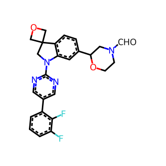 O=CN1CCOC(c2ccc3c(c2)N(c2ncc(-c4cccc(F)c4F)cn2)CC32COC2)C1